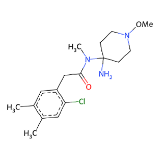 CON1CCC(N)(N(C)C(=O)Cc2cc(C)c(C)cc2Cl)CC1